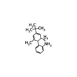 CC1=CC(C(C)(C)C)=CC(C)C1c1ccccc1N